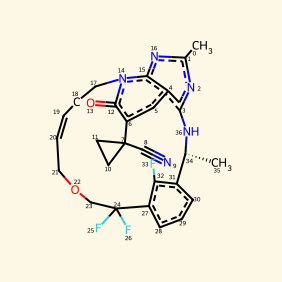 Cc1nc2c3cc(C4(C#N)CC4)c(=O)n(c3n1)CC/C=C\COCC(F)(F)c1cccc(c1F)[C@@H](C)N2